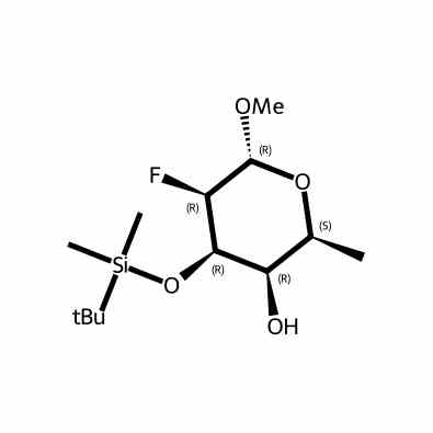 CO[C@@H]1O[C@@H](C)[C@@H](O)[C@@H](O[Si](C)(C)C(C)(C)C)[C@H]1F